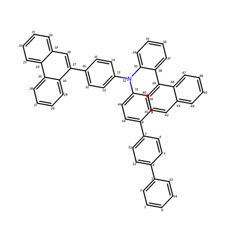 c1ccc(-c2ccc(-c3ccc(N(c4ccc(-c5cc6ccccc6c6ccccc56)cc4)c4ccccc4-c4cccc5ccccc45)cc3)cc2)cc1